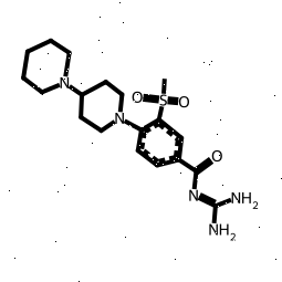 CS(=O)(=O)c1cc(C(=O)N=C(N)N)ccc1N1CCC(N2CCCCC2)CC1